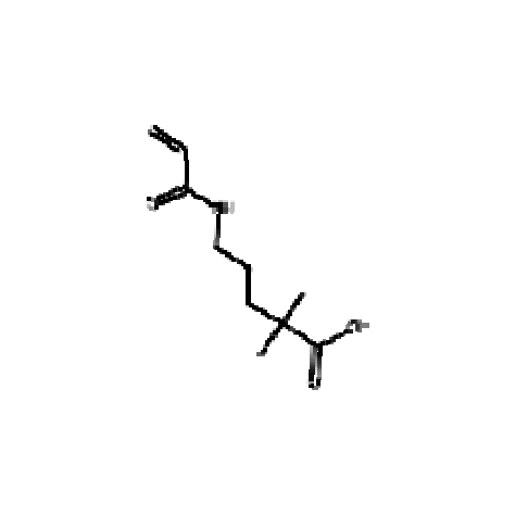 C=CC(=O)NCCCC(C)(C)C(=O)O